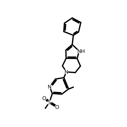 Cc1cc(S(C)(=O)=O)ncc1N1CCc2[nH]c(-c3ccccc3)cc2C1